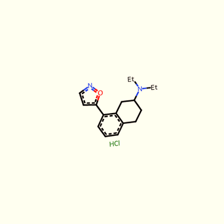 CCN(CC)C1CCc2cccc(-c3ccno3)c2C1.Cl